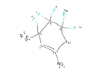 O=[N+]([O-])C1=CC(F)(C(F)(F)F)C(F)(F)C(F)(F)C1